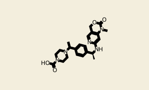 CC(c1ccc([C@H](C)Nc2cc3c(cn2)COC(=O)N3C)cc1)N1CCN(C(=O)O)CC1